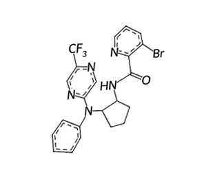 O=C(NC1CCCC1N(c1ccccc1)c1cnc(C(F)(F)F)cn1)c1ncccc1Br